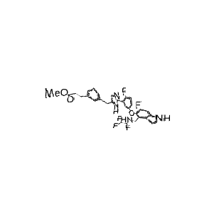 COC(=O)CCc1cccc(Cc2cnc(-c3cc(Oc4c(F)cc5[nH]ccc5c4CNC(F)C(F)F)ccc3F)[nH]2)c1